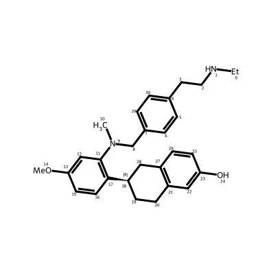 CCNCCc1ccc(CN(C)c2cc(OC)ccc2[C@@H]2CCc3cc(O)ccc3C2)cc1